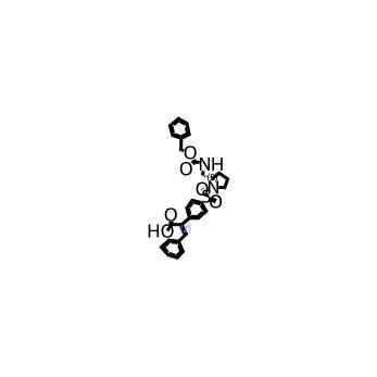 O=C(NC[C@@H]1CCCN1S(=O)(=O)c1ccc(/C(=C/c2ccccc2)C(=O)O)cc1)OCc1ccccc1